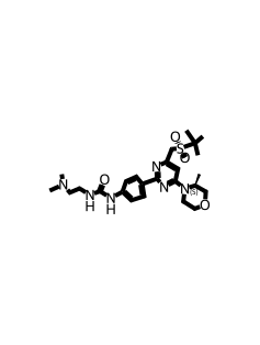 C[C@H]1COCCN1c1cc(CS(=O)(=O)C(C)(C)C)nc(-c2ccc(NC(=O)NCCN(C)C)cc2)n1